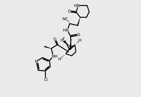 C[C@H](Nc1cncc(Cl)c1)C(=O)N1[C@@H]2CC[C@H]([C@H]1C(=O)N[C@H](C#N)C[C@@H]1CCCNC1=O)C(F)(F)C2